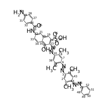 Cc1cc(N=Nc2cc(C)c(N=Nc3c(S(=O)(=O)O)cc4cc(NC(=O)c5ccc(N)cc5)ccc4c3O)cc2C)c(C)cc1N=Nc1ccccc1